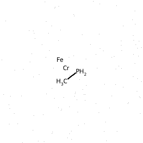 CP.[Cr].[Fe]